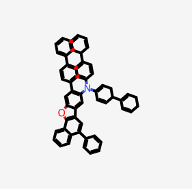 C1=CCC(c2ccc(N(C3=CCC(C4=CCCC=C4)C=C3)c3cc4c(cc3-c3ccc(-c5ccccc5)cc3)oc3c5ccccc5c(-c5ccccc5)cc43)cc2)C=C1